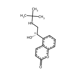 CC(C)(C)NC[C@@H](O)c1cccc2oc(=O)ccc12